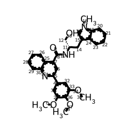 COc1cc(-c2cc(C(=O)N[C@H](CO)Cc3cn(C)c4ccccc34)c3ccccc3n2)cc(OC)c1OC